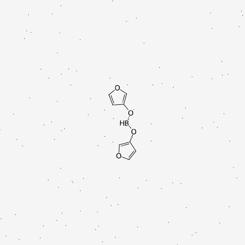 B(Oc1ccoc1)Oc1ccoc1